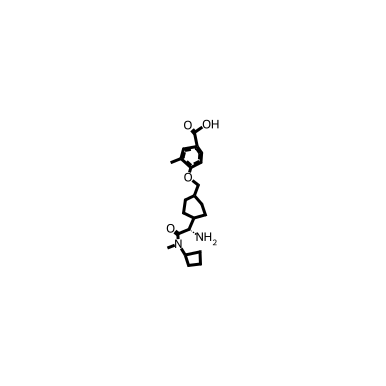 Cc1cc(C(=O)O)ccc1OCC1CCC([C@H](N)C(=O)N(C)C2CCC2)CC1